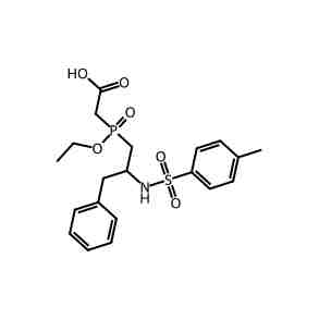 CCOP(=O)(CC(=O)O)CC(Cc1ccccc1)NS(=O)(=O)c1ccc(C)cc1